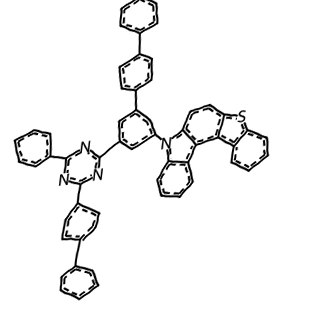 c1ccc(-c2ccc(-c3cc(-c4nc(-c5ccccc5)nc(-c5ccc(-c6ccccc6)cc5)n4)cc(-n4c5ccccc5c5c6c(ccc54)sc4ccccc46)c3)cc2)cc1